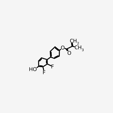 C=C(C)C(=O)Oc1ccc(-c2ccc(O)c(F)c2F)cc1